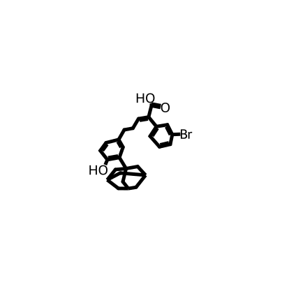 O=C(O)/C(=C/CCc1ccc(O)c(C23CC4CC(CC(C4)C2)C3)c1)c1cccc(Br)c1